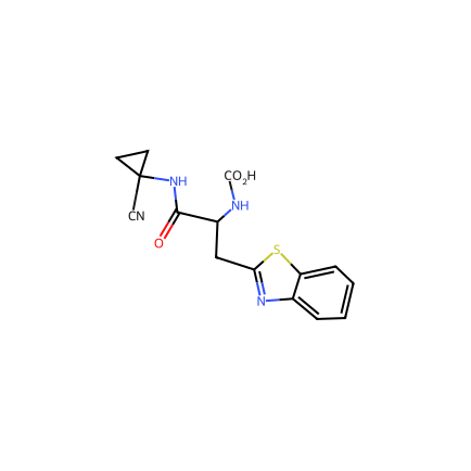 N#CC1(NC(=O)C(Cc2nc3ccccc3s2)NC(=O)O)CC1